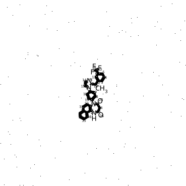 CC(c1cccc(C(F)(F)F)c1)c1nccn1-c1ccc(N2C(=O)CC(=O)Nc3c2ccc2ccccc32)cc1